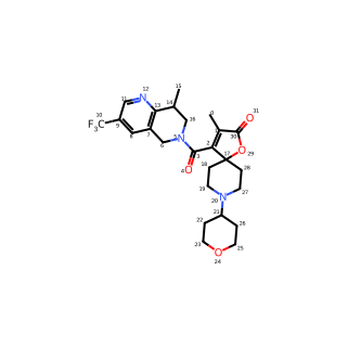 CC1=C(C(=O)N2Cc3cc(C(F)(F)F)cnc3C(C)C2)C2(CCN(C3CCOCC3)CC2)OC1=O